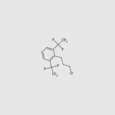 [O]CCCc1c(C(F)(F)C(F)(F)F)cccc1C(F)(F)C(F)(F)F